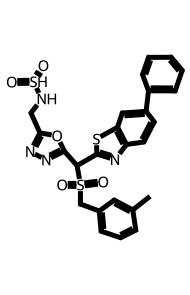 Cc1cccc(CS(=O)(=O)C(c2nnc(CN[SH](=O)=O)o2)c2nc3ccc(-c4ccccc4)cc3s2)c1